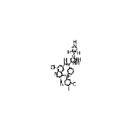 N#Cc1cnc2c(Cl)cc(N[C@H](C3=CN(C4[C@H]5CNC[C@@H]45)NN3)c3ccccc3)cc2c1Nc1ccc(F)c(Cl)c1